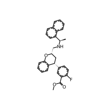 COC(=O)c1cc([C@H]2C[C@@H](CN[C@H](C)c3cccc4ccccc34)Oc3ccccc32)ccc1F